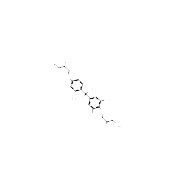 CCS(=O)(=O)C[C@@H](C)COc1c(Cl)cc(C(C)(C)c2ccc(OC[C@@H](CCl)OC(C)=O)cc2)cc1Cl